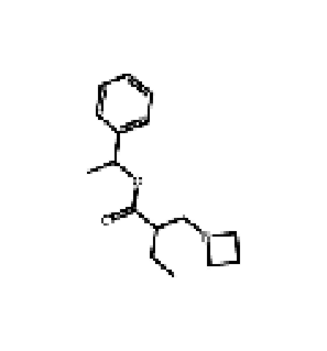 CCC(CN1CCC1)C(=O)OC(C)c1ccccc1